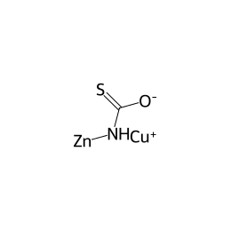 [Cu+].[O-]C(=S)[NH][Zn]